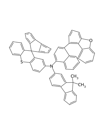 CC1(C)c2ccccc2-c2ccc(N(c3ccc4c(c3)C3(c5ccccc5S4)c4ccccc4-c4ccccc43)c3ccc(-c4cccc5oc6ccccc6c45)c4ccccc34)cc21